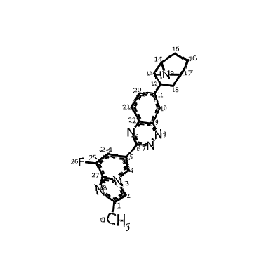 Cc1cn2cc(-c3nnc4cc(C5CC6CCC(C5)N6)ccc4n3)cc(F)c2n1